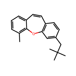 Cc1cccc2c1Oc1cc(CC(C)(C)C)ccc1C=C2